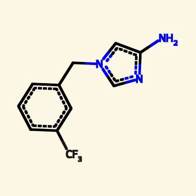 Nc1cn(Cc2cccc(C(F)(F)F)c2)cn1